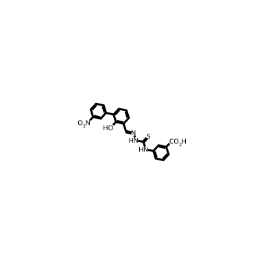 O=C(O)c1cccc(NC(=S)NN=Cc2cccc(-c3cccc([N+](=O)[O-])c3)c2O)c1